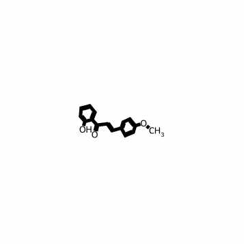 COc1ccc(C=CC(=O)c2ccccc2O)cc1